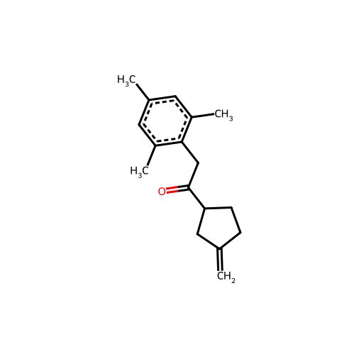 C=C1CCC(C(=O)Cc2c(C)cc(C)cc2C)C1